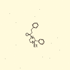 CCN1CCN(C(=O)CCc2ccccc2)CC1c1ccccc1